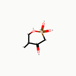 CC1COS(=O)(=O)CC1=O